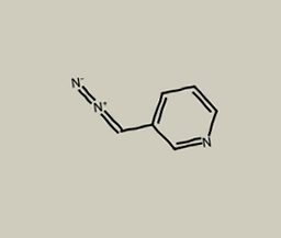 [N-]=[N+]=Cc1cccnc1